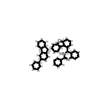 c1ccc(C2=Nc3ccccc3C(c3cccc4oc5cc([C@H]6c7ccccc7-c7cc(-c8ccccc8)ccc76)ccc5c34)N2)cc1